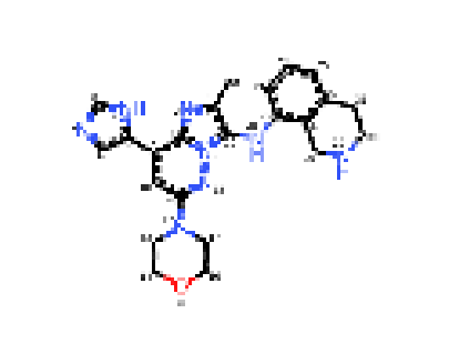 Cc1nc2c(-c3cnc[nH]3)cc(N3CCOCC3)nn2c1Nc1cccc2c1CNCC2